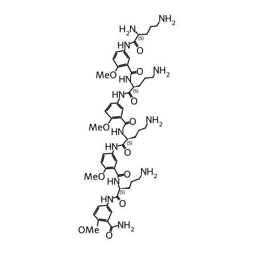 COc1ccc(NC(=O)[C@H](CCCN)NC(=O)c2cc(NC(=O)[C@H](CCCN)NC(=O)c3cc(NC(=O)[C@H](CCCN)NC(=O)c4cc(NC(=O)[C@@H](N)CCCN)ccc4OC)ccc3OC)ccc2OC)cc1C(N)=O